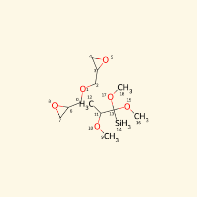 C(OCC1CO1)C1CO1.COC(C)C([SiH3])(OC)OC